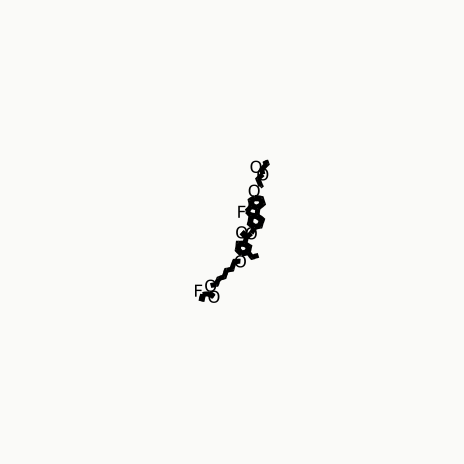 C=CC(=O)OCCOc1ccc2c(c1)C(F)c1cc(OC(=O)c3ccc(OCCCCCCOC(=O)C(=C)F)c(CC)c3)ccc1-2